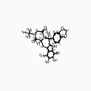 [2H]c1c([2H])c([2H])c2c3c([nH]c2c1[2H])[C@@]([2H])(c1ccc2c(c1)OCO2)N1C(=O)CN(C([2H])([2H])[2H])C(=O)[C@H]1C3